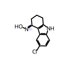 O/N=C1\CCCc2[nH]c3ccc(Cl)cc3c21